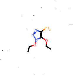 CCOc1c(P)nnn1OCC